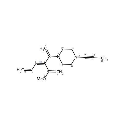 C=C/C=C(\C(=C)OC)C(=C)N1CCN(C#CC)CC1